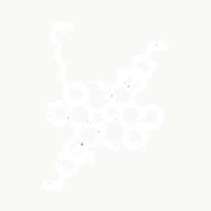 COc1ccc2nc(/C(C#N)=c3/c4c(-c5ccccc5C)n(B(c5ccccc5)c5ccccc5)/c(=C(/C#N)c5nc6ccc(OC)cc6s5)c4c(-c4ccc(OCCCCS(=O)(=O)O)cc4)n3B(c3ccccc3)c3ccccc3)sc2c1